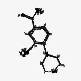 NC(=O)c1ccc(N2CCNCC2)c(N)c1